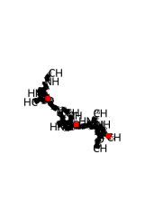 C#CCNCCc1c[nH]c2c(C#C)cc(OCC#CN(CC#C)CCc3c[nH]c4ccc(OCC#CC(Cc5c[nH]c6cc(C#C)c(OCC#C)cc56)NCC#C)c(C#C)c34)cc12